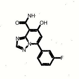 [NH]C(=O)c1c(O)cc(-c2cccc(F)c2)n2ncnc12